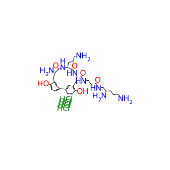 Cl.Cl.Cl.Cl.NCCC[C@H](N)CNC(=O)CCNC(=O)[C@@H]1Cc2cc(ccc2O)-c2ccc(O)c(c2)C[C@H](N)C(=O)N[C@@H](CCCN)C(=O)N1